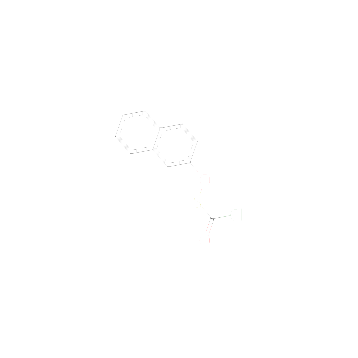 O=C(Cl)SOc1ccc2ccccc2c1